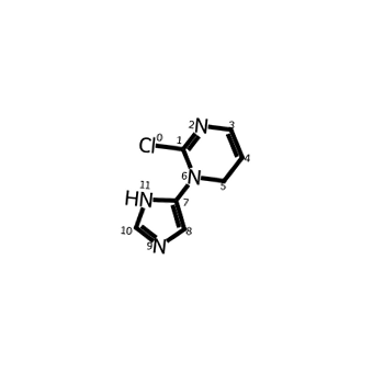 ClC1=NC=CCN1c1cnc[nH]1